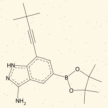 CC(C)(C)C#Cc1cc(B2OC(C)(C)C(C)(C)O2)cc2c(N)n[nH]c12